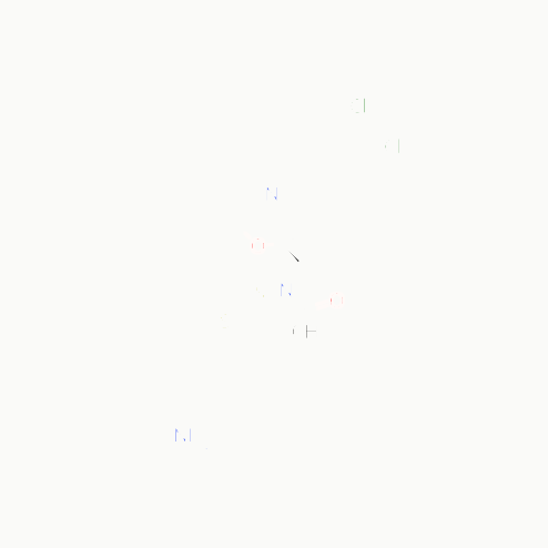 CC(=O)N(C[C@@H]1CN(Cc2ccc(Cl)c(Cl)c2)CCO1)Sc1ccc(-c2cccc(N)c2)s1